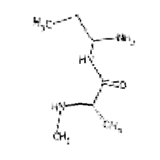 CCC(N)NC(=O)[C@H](C)NC